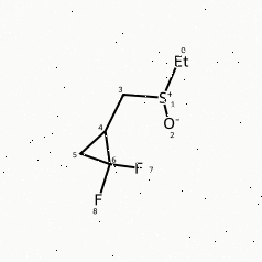 CC[S+]([O-])CC1CC1(F)F